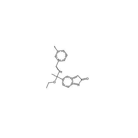 CCOC(C)([Se]Cc1cccc(C)c1)c1ccc2c(c1)=CC(=O)N=2